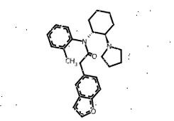 Cc1ccccc1N(C(=O)Cc1ccc2occc2c1)[C@@H]1CCCC[C@H]1N1CCCC1